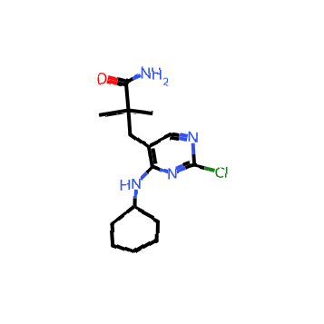 CC(C)(Cc1cnc(Cl)nc1NC1CCCCC1)C(N)=O